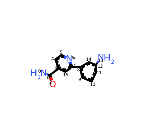 NC(=O)c1ccnc(-c2cccc(N)c2)c1